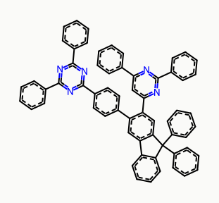 c1ccc(-c2cc(-c3cc4c(cc3-c3ccc(-c5nc(-c6ccccc6)nc(-c6ccccc6)n5)cc3)-c3ccccc3C4(c3ccccc3)c3ccccc3)nc(-c3ccccc3)n2)cc1